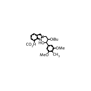 COc1cc(C(O)C(Cn2cc3cccc(C(=O)O)c3n2)OCC(C)C)cc(OC)c1C